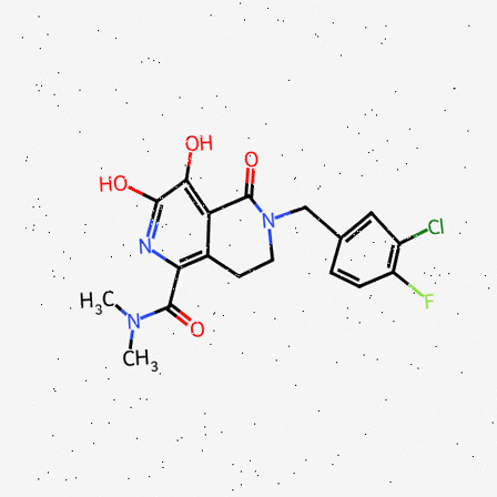 CN(C)C(=O)c1nc(O)c(O)c2c1CCN(Cc1ccc(F)c(Cl)c1)C2=O